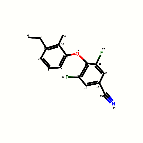 CCc1cccc(Oc2c(F)cc(C#N)cc2F)c1C